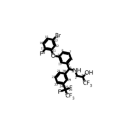 OC(CNC(c1cccc(Oc2cc(Br)ccc2F)c1)c1cccc(C(F)(F)C(F)(F)F)c1)C(F)(F)F